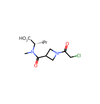 CC(C)[C@@H](C(=O)O)N(C)C(=O)C1CN(C(=O)CCl)C1